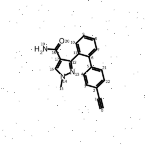 C#Cc1ccc(-c2ccccc2-c2nn(C)cc2C(N)=O)cc1